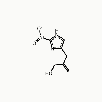 C=C(CO)Cc1c[nH]c([N+](=O)[O-])n1